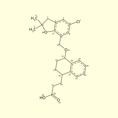 CC1(C)Cc2cc(Cl)cc(COC3CCC(CCC(=O)O)c4ccccc43)c2O1